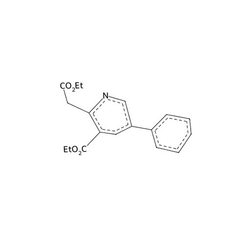 CCOC(=O)Cc1ncc(-c2ccccc2)cc1C(=O)OCC